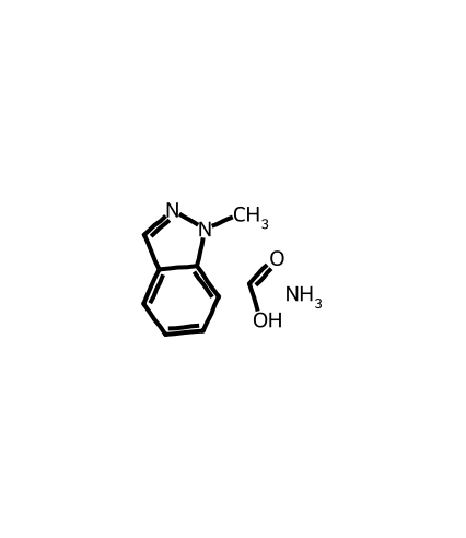 Cn1ncc2ccccc21.N.O=CO